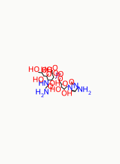 CP(=O)(OCC1OC(n2ccc(N)nc2=O)C(O)C1O)OC1(C(=O)O)CC(O)C(NC(=O)CN)C([C@H](O)[C@H](O)CO)O1